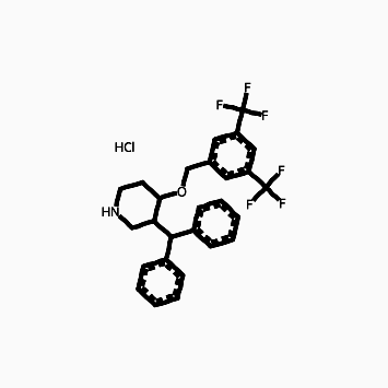 Cl.FC(F)(F)c1cc(COC2CCNCC2C(c2ccccc2)c2ccccc2)cc(C(F)(F)F)c1